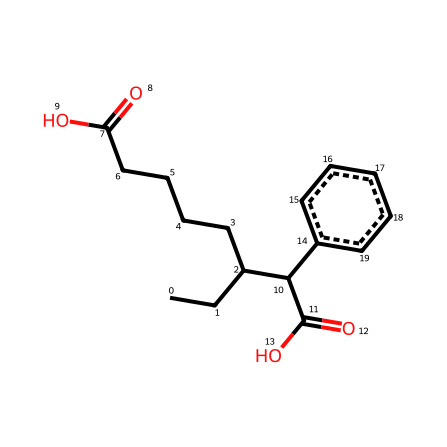 CCC(CCCCC(=O)O)C(C(=O)O)c1ccccc1